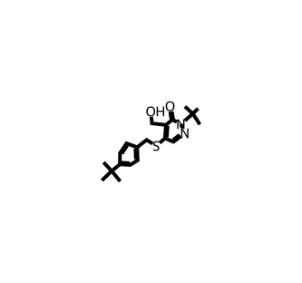 CC(C)(C)c1ccc(CSc2cnn(C(C)(C)C)c(=O)c2CO)cc1